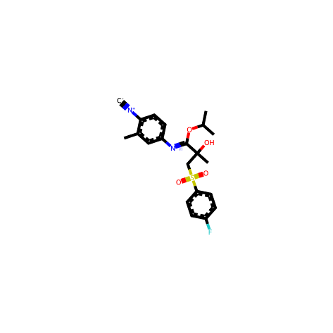 [C-]#[N+]c1ccc(/N=C(\OC(C)C)C(C)(O)CS(=O)(=O)c2ccc(F)cc2)cc1C